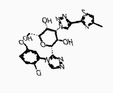 Cc1csc(-c2cn([C@H]3[C@@H](O)[C@@H](CO)O[C@@H](c4nncn4-c4cc(Cl)ccc4Cl)[C@@H]3O)nn2)n1